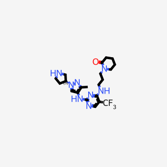 Cc1nn([C@H]2CCNC2)cc1Nc1ncc(C(F)(F)F)c(NCCCN2CCCCC2=O)n1